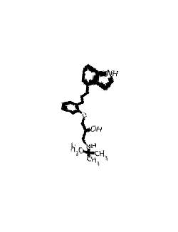 CC(C)(C)NCC(O)COc1ccccc1CCCc1cccc2[nH]ccc12